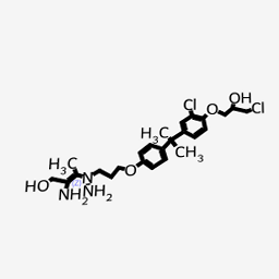 C/C(=C(/N)CO)N(N)CCCOc1ccc(C(C)(C)c2ccc(OCC(O)CCl)c(Cl)c2)cc1